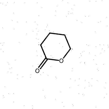 O=C1[CH]CC[CH]O1